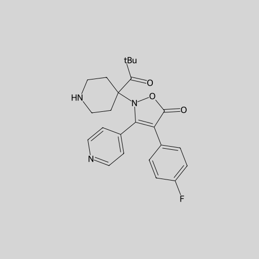 CC(C)(C)C(=O)C1(n2oc(=O)c(-c3ccc(F)cc3)c2-c2ccncc2)CCNCC1